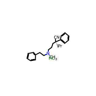 CC(C)[C@@](C#N)(CCCN(C)CCc1ccccc1)c1ccccc1.Cl